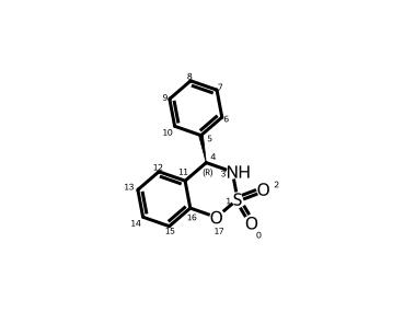 O=S1(=O)N[C@H](c2ccccc2)c2ccccc2O1